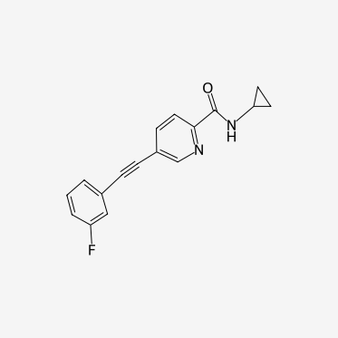 O=C(NC1CC1)c1ccc(C#Cc2cccc(F)c2)cn1